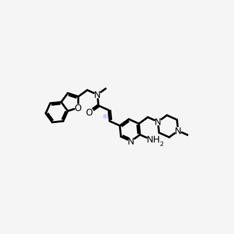 CN1CCN(Cc2cc(/C=C/C(=O)N(C)Cc3cc4ccccc4o3)cnc2N)CC1